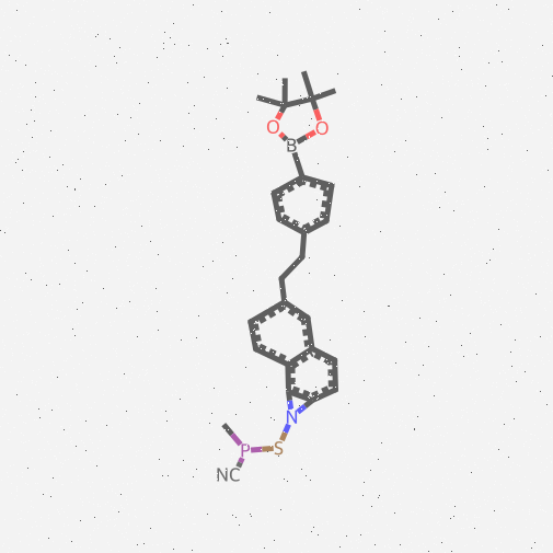 CP(C#N)SN1c2ccc3cc(CCc4ccc(B5OC(C)(C)C(C)(C)O5)cc4)ccc3c21